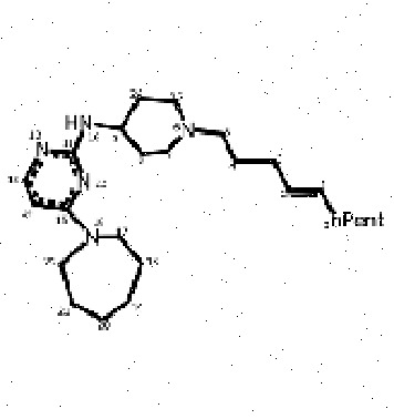 CCCCCC=CCCCN1CCC(Nc2nccc(N3CCCCCC3)n2)CC1